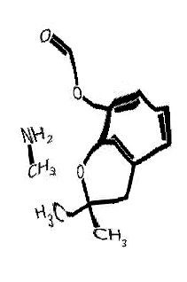 CC1(C)Cc2cccc(OC=O)c2O1.CN